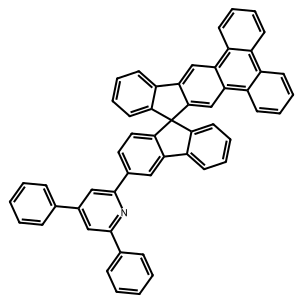 c1ccc(-c2cc(-c3ccccc3)nc(-c3ccc4c(c3)-c3ccccc3C43c4ccccc4-c4cc5c6ccccc6c6ccccc6c5cc43)c2)cc1